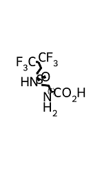 N=S(=O)(CCC(C(F)(F)F)C(F)(F)F)CC[C@H](N)C(=O)O